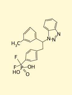 Cc1cccc(C(Cc2ccc(C(F)(F)P(=O)(O)O)cc2)n2nnc3ccccc32)c1